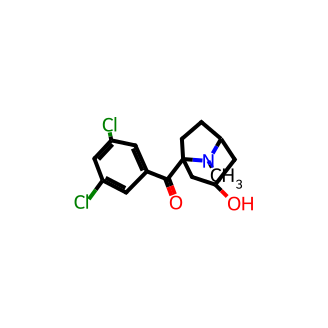 CN1C2CCC1(C(=O)c1cc(Cl)cc(Cl)c1)CC(O)C2